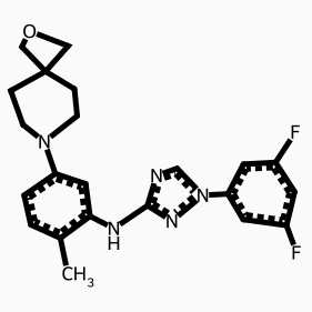 Cc1ccc(N2CCC3(CC2)COC3)cc1Nc1ncn(-c2cc(F)cc(F)c2)n1